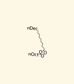 CCCCCCCCCCCCCCCCCCCC(=O)OC(=O)CCCCCCCC